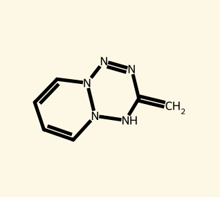 C=C1N=NN2C=CC=CN2N1